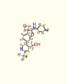 CC(C)(O)c1cc(C(F)(F)F)ncc1-c1ccc(C2(C(=O)Nc3ccc(F)cc3)COC2)cc1